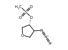 CS(=O)(=O)O[C@H]1COCC1N=[N+]=[N-]